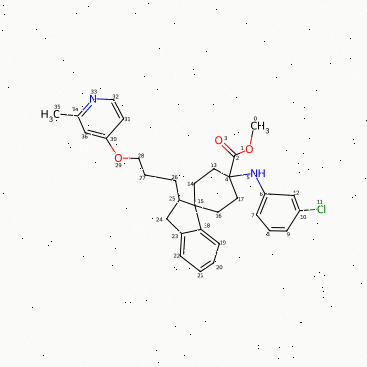 COC(=O)C1(Nc2cccc(Cl)c2)CCC2(CC1)c1ccccc1CC2CCCOc1ccnc(C)c1